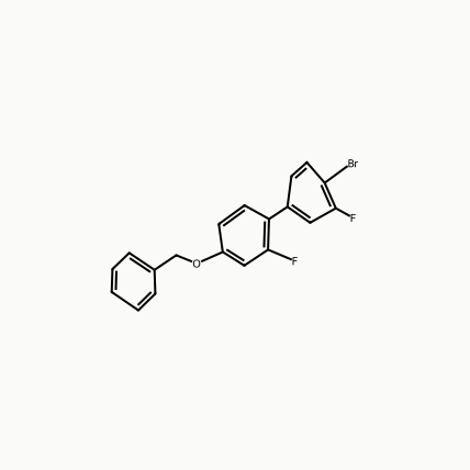 Fc1cc(-c2ccc(OCc3ccccc3)cc2F)ccc1Br